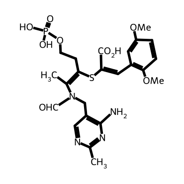 COc1ccc(OC)c(/C=C(/S/C(CCOP(=O)(O)O)=C(/C)N(C=O)Cc2cnc(C)nc2N)C(=O)O)c1